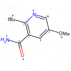 COc1[c]c(C(N)=O)c(C(C)(C)C)nc1